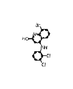 Oc1cc(Nc2cccc(Cl)c2Cl)c2cccc(Br)c2n1